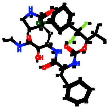 CCNC(=O)C(O)[C@H](C[C@@H]1CCNC1=O)NC(=O)[C@H](Cc1ccccc1)NC(=O)OC(C(C)C)C(F)(F)c1cccc(Cl)c1